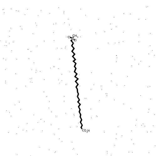 C[Si](Cl)(Cl)CCCCCCCCCCCCCCCCCCCCCCCCCCCCCCCCCCCC(=O)O